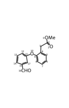 COC(=O)Cc1ccccc1Oc1cccc(C=O)c1